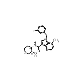 Cc1ccnc2c(C(=O)N[C@H]3CCOC[C@@H]3O)cn(Cc3cccc(F)c3)c12